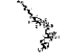 CC(=O)SCCNC(=O)CCNC(=O)[C@H](O)C(C)(C)COP(=O)(O)OP(=O)(O)OCC1O[C@@H](n2cnc3c(N)ncnc32)[C@H](O)[C@@H]1OP(=O)(O)O